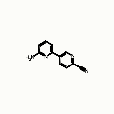 N#Cc1ccc(-c2cccc(N)n2)cn1